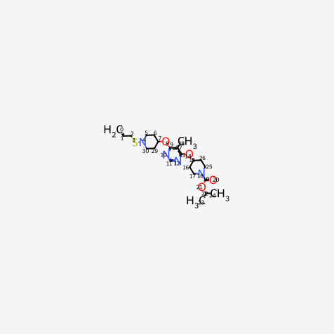 C=CCSN1CCC(Oc2ncnc(OC3CCN(C(=O)OC(C)C)CC3)c2C)CC1